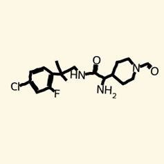 CC(C)(CNC(=O)C(N)C1CCN(C=O)CC1)c1ccc(Cl)cc1F